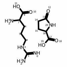 N=C(N)NCCCC(N)C(=O)O.O=C1CCC(C(=O)O)N1